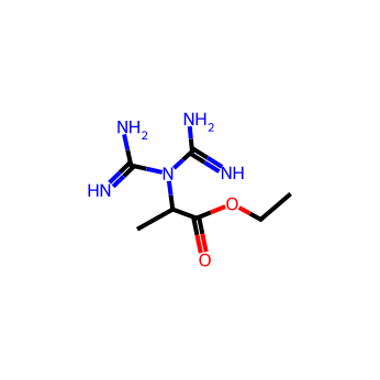 CCOC(=O)C(C)N(C(=N)N)C(=N)N